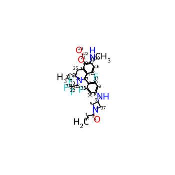 C=CC(=O)N1CC(Nc2cc(F)c(C3c4ccc(NC)c(OC=O)c4C[C@@H](C)N3CC(F)(F)F)c(F)c2)C1